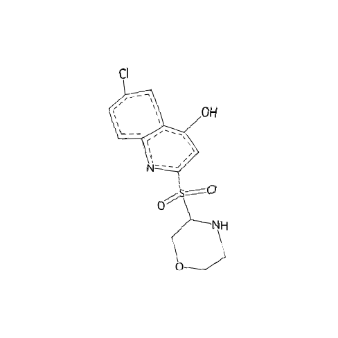 O=S(=O)(c1cc(O)c2cc(Cl)ccc2n1)C1COCCN1